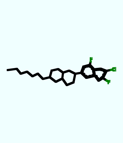 CCCCCCCC1CCC2CC(c3cc(F)c4cc(Cl)c(F)cc4c3)CCC2C1